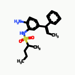 C/C=C(\c1ccccc1)c1ccc(N)c(NS(=O)(=O)C(C)CCC)c1